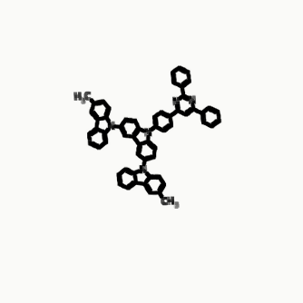 Cc1ccc2c(c1)c1ccccc1n2-c1ccc2c(c1)c1cc(-n3c4ccccc4c4cc(C)ccc43)ccc1n2-c1ccc(-c2cc(-c3ccccc3)nc(-c3ccccc3)n2)cc1